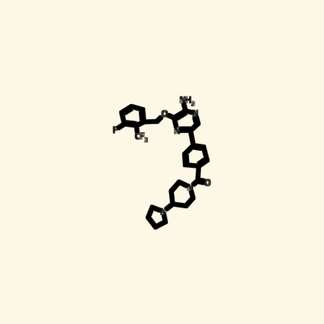 Nc1ncc(-c2ccc(C(=O)N3CCC(N4CCCC4)CC3)cc2)nc1OCc1cccc(F)c1C(F)(F)F